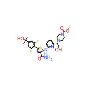 COC(=O)N1CCN(C(CO)c2cccc(Nc3sc(-c4c(F)cc(C(C)(C)O)cc4F)cc3C(N)=O)n2)CC1